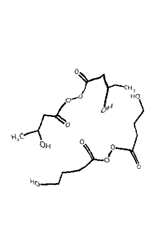 CC(O)CC(=O)OOC(=O)CC(C)O.O=C(CCCO)OOC(=O)CCCO